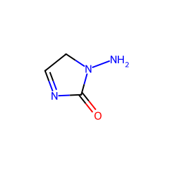 NN1CC=NC1=O